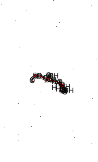 O=C=CCC1CCCc2cc(OCCCCCOc3cccc(OCCCC(=O)NCCCNC(=O)c4ccc(NN=Cc5ccccc5S(=O)(=O)O)nc4)c3CCC(=O)O)ccc21